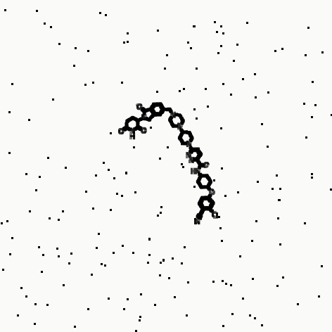 N#Cc1ccc(OC2CCC(NC(=O)c3ccc(N4CCC(N5CCN(Cc6ccc7c(c6)CN(C6CCC(=O)NC6=O)C7=O)CC5)CC4)nn3)CC2)cc1Cl